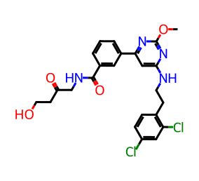 COc1nc(NCCc2ccc(Cl)cc2Cl)cc(-c2cccc(C(=O)NCC(=O)CCO)c2)n1